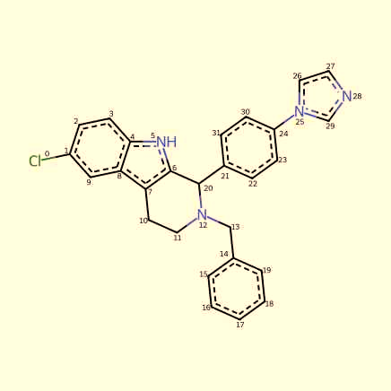 Clc1ccc2[nH]c3c(c2c1)CCN(Cc1ccccc1)C3c1ccc(-n2ccnc2)cc1